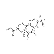 C=CC(=O)N1CCN2c3ncc(C(F)(F)F)cc3N(C)C(=O)[C@@H]2C1